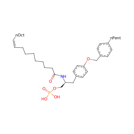 CCCCCCCC/C=C\CCCCCCCC(=O)N[C@H](COP(=O)(O)O)Cc1ccc(OCc2ccc(CCCCC)cc2)cc1